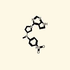 CN(c1ccc([SH](=O)=O)cc1)[C@@H]1CCN(c2ncnc3[nH]ccc23)C1